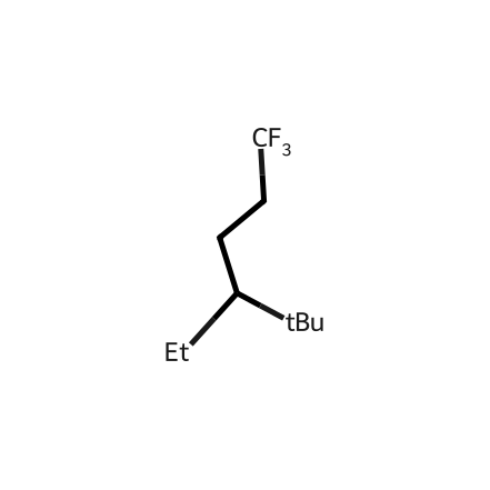 CCC(CCC(F)(F)F)C(C)(C)C